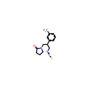 O=C1CCCN1CC(CN=C=S)c1cccc(C(F)(F)F)c1